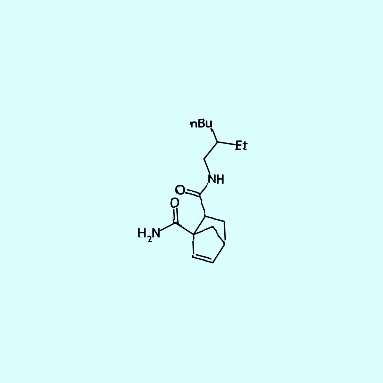 CCCCC(CC)CNC(=O)C1CC2C=CC1(C(N)=O)C2